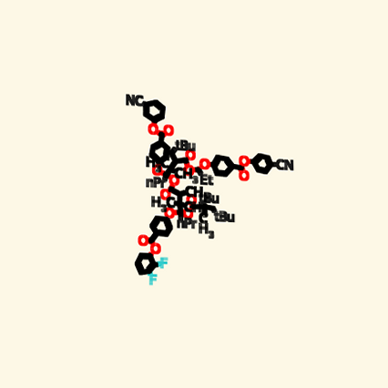 CCCC(OC(=O)C(C)(CC(C)(C)C)C(C)(C)C)(Oc1ccc(C(=O)Oc2cccc(F)c2F)cc1)C(C)(C)C(C)C(=O)OC(CCC)(Oc1ccc(C(=O)Oc2cccc(C#N)c2)cc1)C(C)(C)C(CC(C)(C)C)C(=O)OC(CC)Oc1ccc(C(=O)Oc2ccc(C#N)cc2)cc1